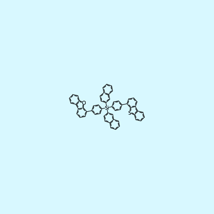 c1ccc2cc([Si](c3ccc(-c4cccc5c4oc4ccccc45)cc3)(c3ccc(-c4cccc5c4sc4ccccc45)cc3)c3ccc4ccccc4c3)ccc2c1